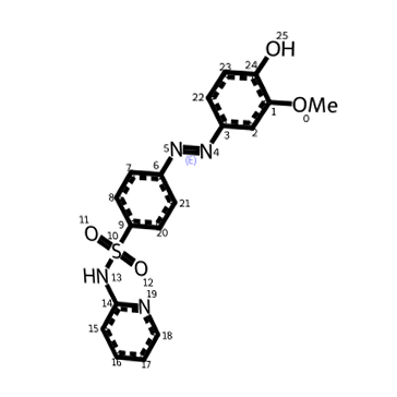 COc1cc(/N=N/c2ccc(S(=O)(=O)Nc3ccccn3)cc2)ccc1O